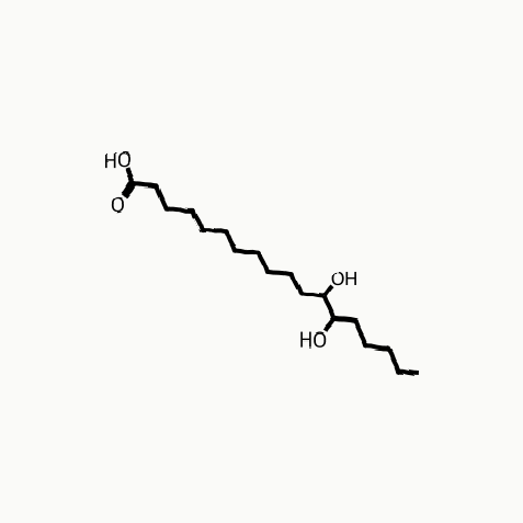 CCCCCC(O)C(O)CCCCCCCCCCC(=O)O